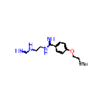 CC(C)(C)CCOc1ccc(C(=N)NCCNC=N)cc1